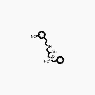 N#Cc1cccc(CCNC[C@@H](O)CP(=O)(O)Cc2ccccc2)c1